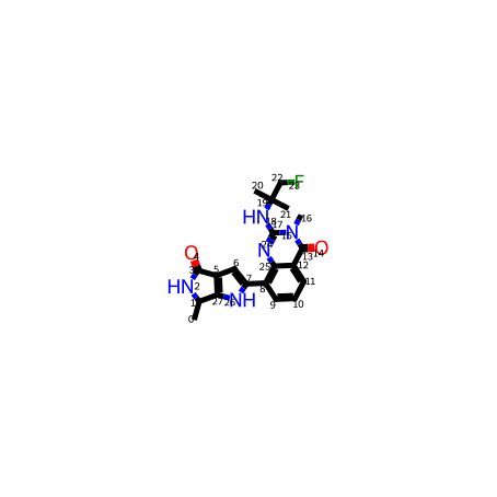 CC1NC(=O)c2cc(-c3cccc4c(=O)n(C)c(NC(C)(C)CF)nc34)[nH]c21